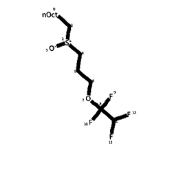 CCCCCCCCC[S+]([O-])CCCOC(F)(F)C(F)F